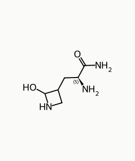 NC(=O)[C@@H](N)CC1CNC1O